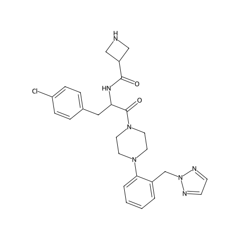 O=C(NC(Cc1ccc(Cl)cc1)C(=O)N1CCN(c2ccccc2Cn2nccn2)CC1)C1CNC1